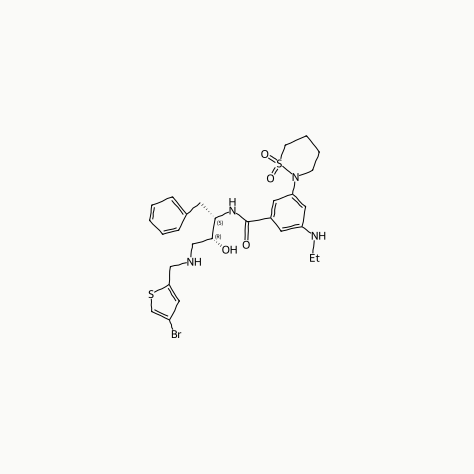 CCNc1cc(C(=O)N[C@@H](Cc2ccccc2)[C@H](O)CNCc2cc(Br)cs2)cc(N2CCCCS2(=O)=O)c1